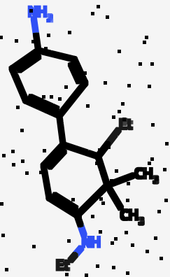 CCNC1=CC=C(c2ccc(N)cc2)C(CC)C1(C)C